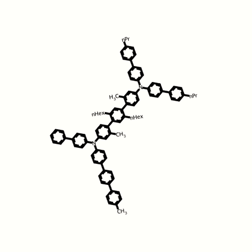 CCCCCCc1cc(-c2ccc(N(c3ccc(-c4ccccc4)cc3)c3ccc(-c4ccc(-c5ccc(C)cc5)cc4)cc3)cc2C)c(CCCCCC)cc1-c1ccc(N(c2ccc(-c3ccc(CCC)cc3)cc2)c2ccc(-c3ccc(CCC)cc3)cc2)cc1C